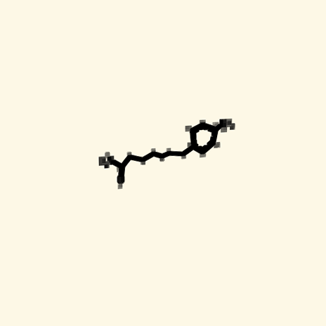 NC(=O)CCCCCCc1ccc(N)cc1